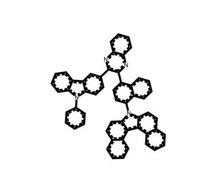 c1ccc(-n2c3ccccc3c3cc(-c4nc5ccccc5nc4-c4ccc(-n5c6ccc7ccccc7c6c6c7ccccc7ccc65)c5ccccc45)ccc32)cc1